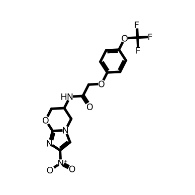 O=C(COc1ccc(OC(F)(F)F)cc1)NC1COc2nc([N+](=O)[O-])cn2C1